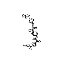 COC(=O)c1ccc(C(=O)NCc2ccc(C(=O)NCCN3CCN(C(=O)OC(C)(C)C)CC3)cc2)s1